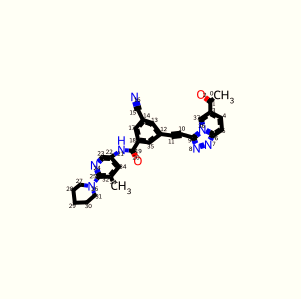 CC(=O)c1ccc2nnc(C#Cc3cc(C#N)cc(C(=O)Nc4cnc(N5CCCCC5)c(C)c4)c3)n2c1